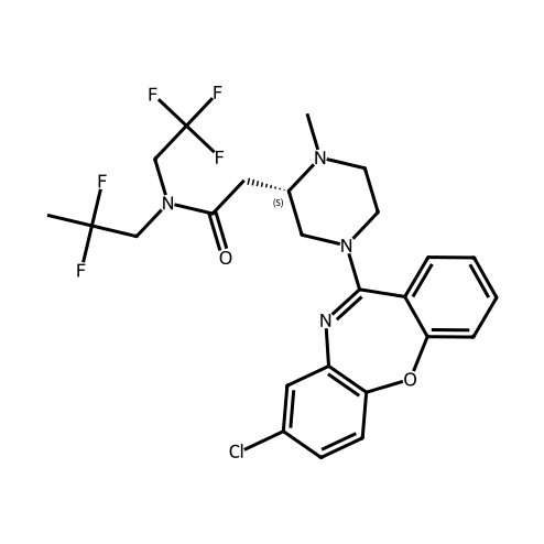 CN1CCN(C2=Nc3cc(Cl)ccc3Oc3ccccc32)C[C@@H]1CC(=O)N(CC(C)(F)F)CC(F)(F)F